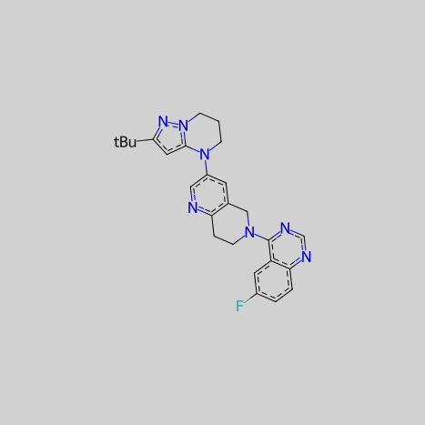 CC(C)(C)c1cc2n(n1)CCCN2c1cnc2c(c1)CN(c1ncnc3ccc(F)cc13)CC2